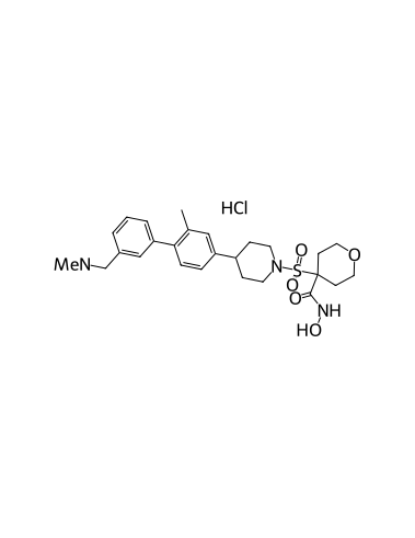 CNCc1cccc(-c2ccc(C3CCN(S(=O)(=O)C4(C(=O)NO)CCOCC4)CC3)cc2C)c1.Cl